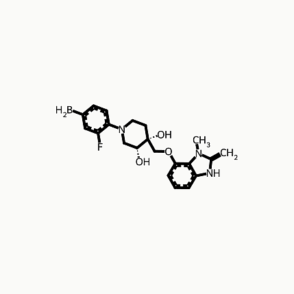 Bc1ccc(N2CC[C@@](O)(COc3cccc4c3N(C)C(=C)N4)[C@H](O)C2)c(F)c1